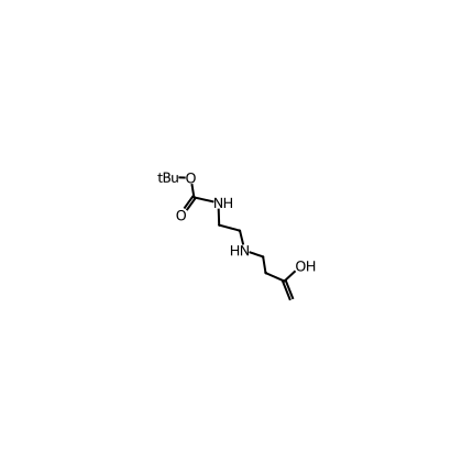 C=C(O)CCNCCNC(=O)OC(C)(C)C